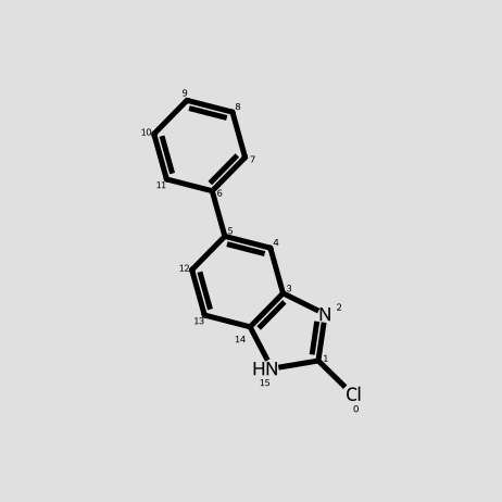 Clc1nc2cc(-c3ccccc3)ccc2[nH]1